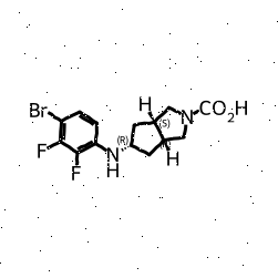 O=C(O)N1C[C@H]2C[C@@H](Nc3ccc(Br)c(F)c3F)C[C@H]2C1